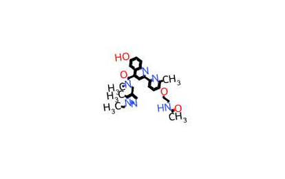 CCn1ncc(CN(C)C(=O)c2cc(-c3ccc(OCCNC(C)=O)c(C)n3)nc3ccc(O)cc23)c1C